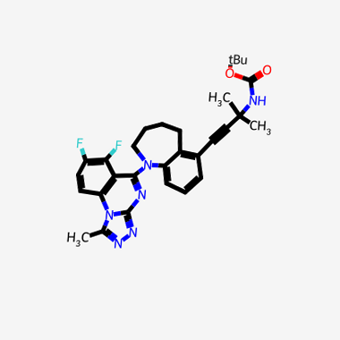 Cc1nnc2nc(N3CCCCc4c(C#CC(C)(C)NC(=O)OC(C)(C)C)cccc43)c3c(F)c(F)ccc3n12